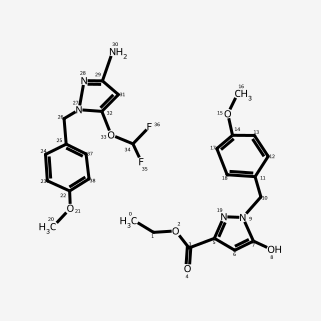 CCOC(=O)c1cc(O)n(Cc2ccc(OC)cc2)n1.COc1ccc(Cn2nc(N)cc2OC(F)F)cc1